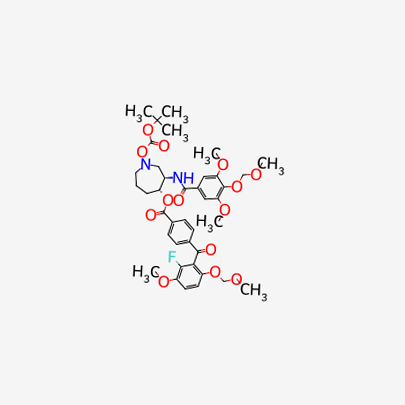 COCOc1ccc(OC)c(F)c1C(=O)c1ccc(C(=O)O[C@@H]2CCCN(OC(=O)OC(C)(C)C)C[C@H]2NC(=O)c2cc(OC)c(OCOC)c(OC)c2)cc1